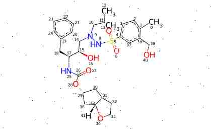 Cc1ccc(S(=O)(=O)NN(CC(C)C)C[C@@H](O)[C@H](Cc2ccccc2)NC(=O)O[C@@H]2CC3CCO[C@@H]3C2)cc1CO